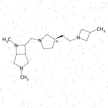 CC1CN(CC[C@H]2CCN(CC3C4CN(C)CC4N3C)C2)C1